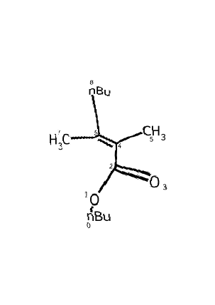 CCCCOC(=O)C(C)=C(C)CCCC